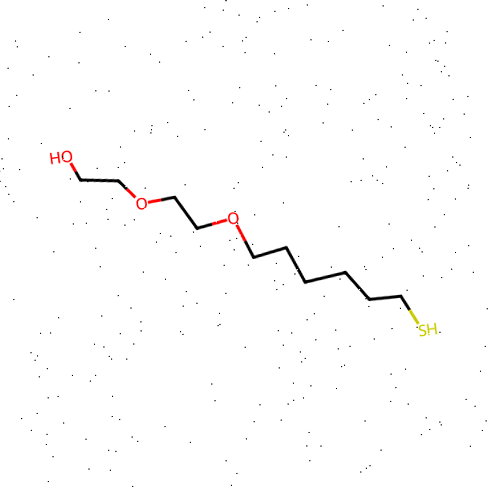 OCCOCCOCCCCCCS